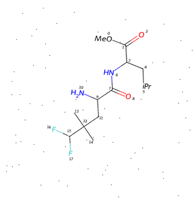 COC(=O)C(CC(C)C)NC(=O)C(N)CC(C)(C)C(F)F